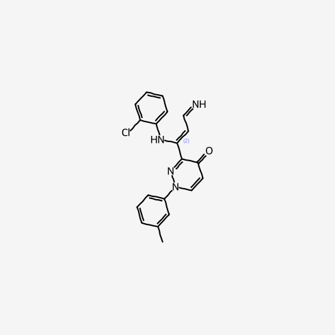 Cc1cccc(-n2ccc(=O)c(/C(=C/C=N)Nc3ccccc3Cl)n2)c1